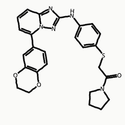 O=C(CSc1ccc(Nc2nc3cccc(-c4ccc5c(c4)OCCO5)n3n2)cc1)N1CCCC1